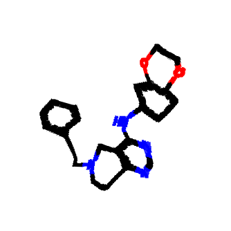 c1ccc(CN2CCc3ncnc(Nc4ccc5c(c4)OCCO5)c3C2)cc1